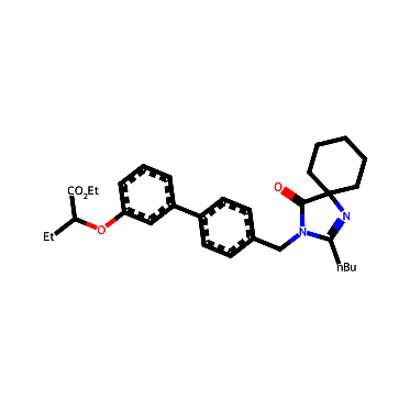 CCCCC1=NC2(CCCCC2)C(=O)N1Cc1ccc(-c2cccc(OC(CC)C(=O)OCC)c2)cc1